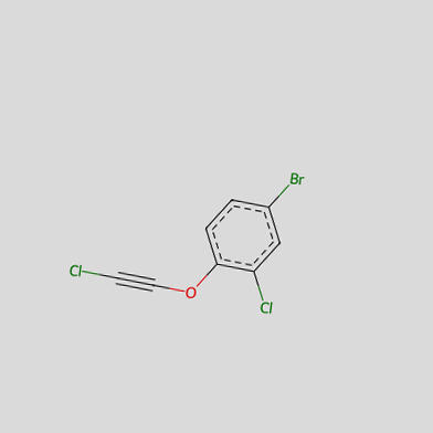 ClC#COc1ccc(Br)cc1Cl